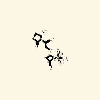 CC[C@H]1CSC(=S)N1C(=O)CC[C@H]1CC(=O)N1[Si](C)(C)C(C)(C)C